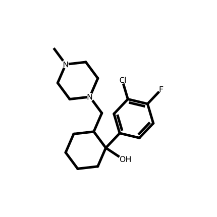 CN1CCN(CC2CCCCC2(O)c2ccc(F)c(Cl)c2)CC1